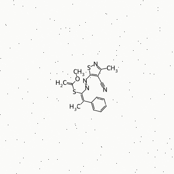 C=C(OC)SC(/N=N/c1snc(C)c1C#N)=C(\C)c1ccccc1